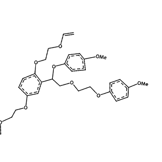 C=COCCOc1ccc(OCCOC=C)c(C(COCCOc2ccc(OC)cc2)Oc2ccc(OC)cc2)c1